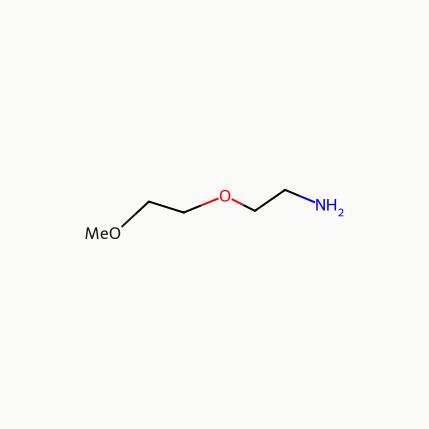 [CH2]OCCOCCN